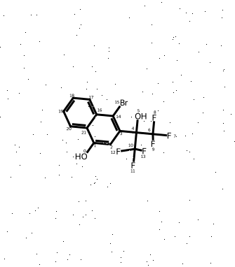 Oc1cc(C(O)(C(F)(F)F)C(F)(F)F)c(Br)c2ccccc12